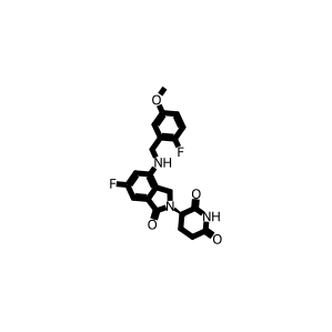 COc1ccc(F)c(CNc2cc(F)cc3c2CN([C@@H]2CCC(=O)NC2=O)C3=O)c1